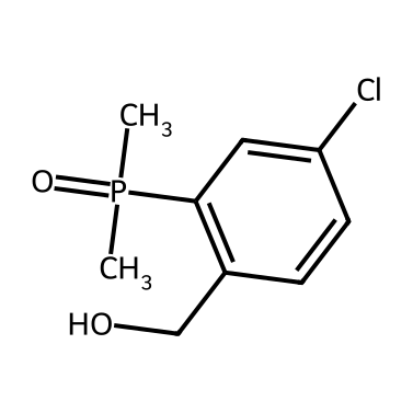 CP(C)(=O)c1cc(Cl)ccc1CO